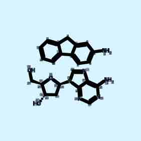 Nc1ccc2c(c1)Cc1ccccc1-2.Nc1ncnc2c1ncn2[C@H]1C[C@H](O)[C@@H](CO)O1